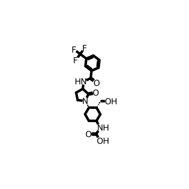 O=C(O)NC1CC[C@H](N2CCC(NC(=O)c3cccc(C(F)(F)F)c3)C2=O)[C@H](CO)C1